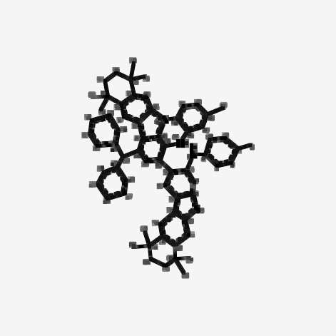 Cc1ccc(Nc2cc3sc4cc5c(cc4c3cc2-c2cc(C(c3ccccc3)c3ccccc3)c3c4cc6c(cc4n4c3c2Bc2cc(C)ccc2-4)C(C)(C)CCC6(C)C)C(C)(C)CCC5(C)C)cc1